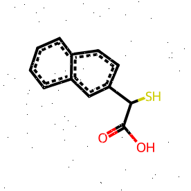 O=C(O)C(S)c1ccc2ccccc2c1